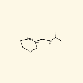 CC(C)NC[C@H]1COCCN1